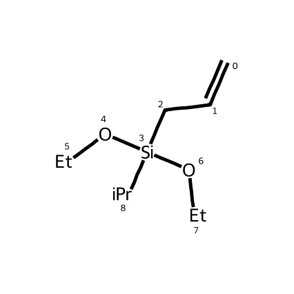 C=CC[Si](OCC)(OCC)C(C)C